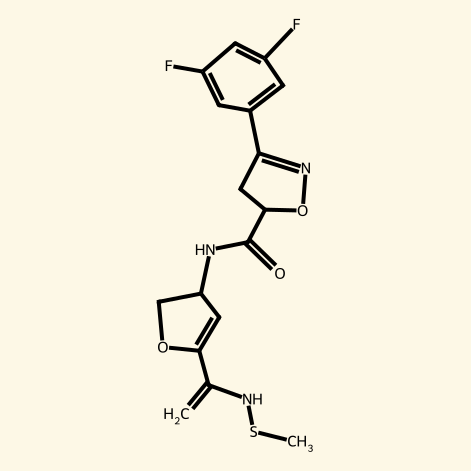 C=C(NSC)C1=CC(NC(=O)C2CC(c3cc(F)cc(F)c3)=NO2)CO1